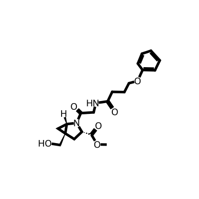 COC(=O)[C@@H]1C[C@]2(CO)C[C@@H]2N1C(=O)CNC(=O)CCCOc1ccccc1